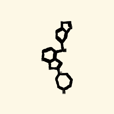 c1cc(Nc2ccc3scnc3c2)c2cc([C@H]3CCCNCC3)sc2n1